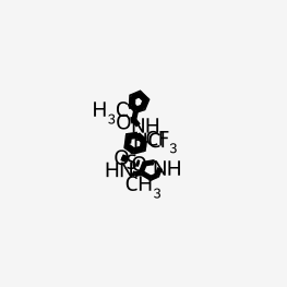 Cc1ccccc1C(=O)Nc1ccc(S(=O)(=O)NC(C)C2CCNCC2)cc1C(F)(F)F.Cl